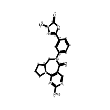 CNc1ncc2c(n1)N1CCCC1CN(c1cccc(-c3nn(C)c(=O)o3)c1)C2=O